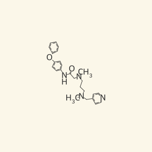 CN(CCCN(C)Cc1ccncc1)CC(=O)Nc1ccc(Oc2ccccc2)cc1